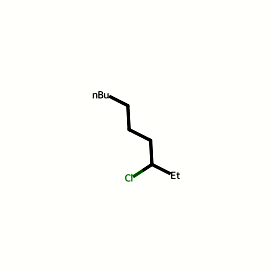 [CH2]CC(Cl)CCCCCCC